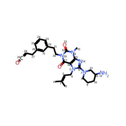 CC(C)=CCn1c(N2CCCC(N)C2)nc2c1c(=O)n(CCc1cccc(CC=C=O)c1)c(=O)n2C